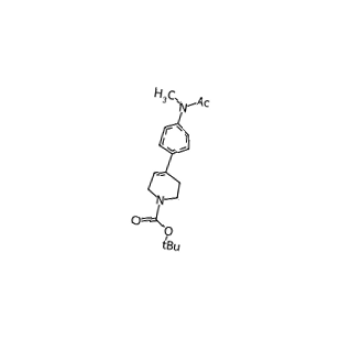 CC(=O)N(C)c1ccc(C2=CCN(C(=O)OC(C)(C)C)CC2)cc1